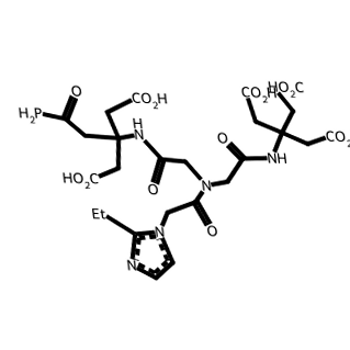 CCc1nccn1CC(=O)N(CC(=O)NC(CC(=O)O)(CC(=O)O)CC(=O)O)CC(=O)NC(CC(=O)O)(CC(=O)O)CC(=O)P